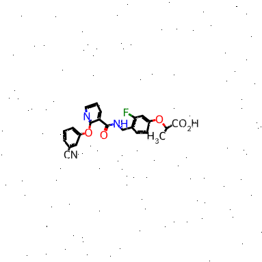 CC(Oc1ccc(CNC(=O)c2cccnc2Oc2cccc(C#N)c2)c(F)c1)C(=O)O